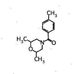 Cc1ccc(C(=O)N2CC(C)OC(C)C2)cc1